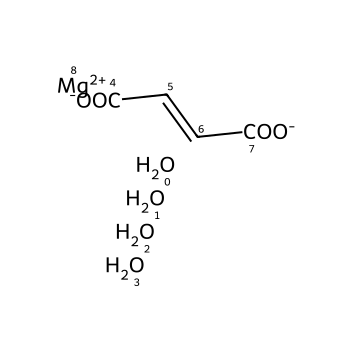 O.O.O.O.O=C([O-])C=CC(=O)[O-].[Mg+2]